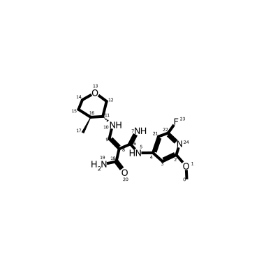 COc1cc(NC(=N)/C(=C\N[C@H]2COCC[C@@H]2C)C(N)=O)cc(F)n1